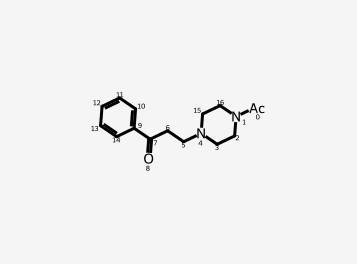 CC(=O)N1CCN(CCC(=O)c2ccccc2)CC1